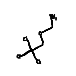 NCOCC(Cl)(Cl)Cl